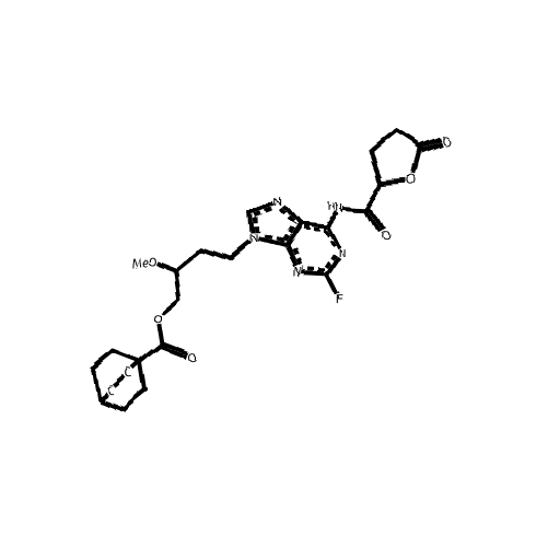 COC(CCn1cnc2c(NC(=O)C3CCC(=O)O3)nc(F)nc21)COC(=O)C12CCC(CC1)CC2